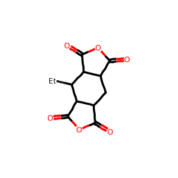 CCC1C2C(=O)OC(=O)C2CC2C(=O)OC(=O)C21